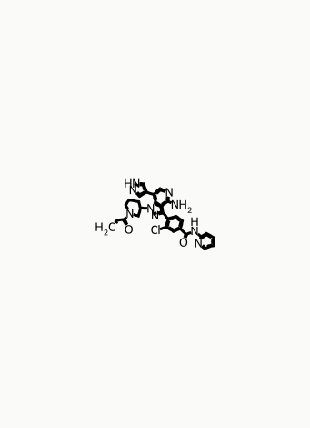 C=CC(=O)N1CCCC(n2nc(-c3ccc(C(=O)Nc4ccccn4)cc3Cl)c3c(N)ncc(-c4cn[nH]c4)c32)C1